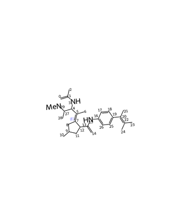 C=C(C)NC(/C(C)=C1\CC(C)CC1C(=C)Nc1ccc(C(C)=C(C)C)cc1)C(C)NC